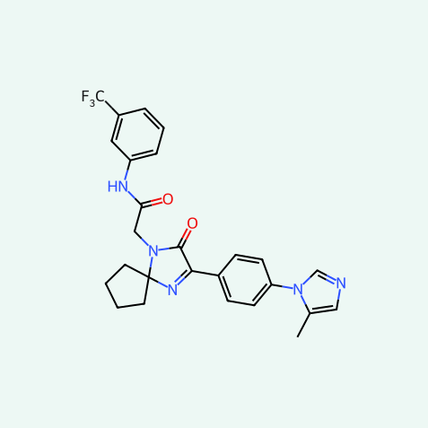 Cc1cncn1-c1ccc(C2=NC3(CCCC3)N(CC(=O)Nc3cccc(C(F)(F)F)c3)C2=O)cc1